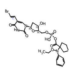 CCON(c1ccccc1)C1(C(=O)OP(=O)(O)OC[C@H]2O[C@@H](n3cc(/C=C/Br)c(=O)[nH]c3=O)C[C@@H]2O)CCCC1